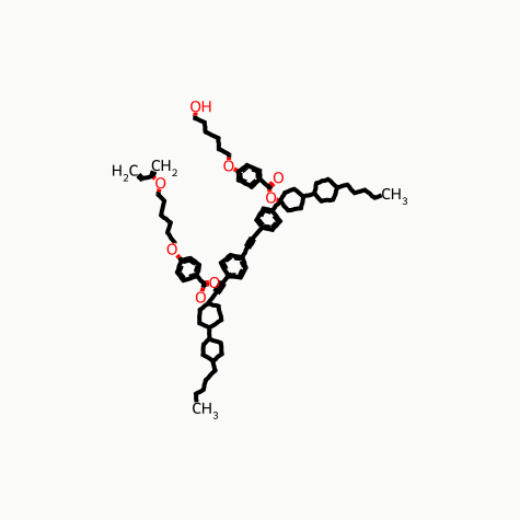 C=CC(=C)OCCCCCCOc1ccc(C(=O)OC2(C#Cc3ccc(C#Cc4ccc(C5(OC(=O)c6ccc(OCCCCCCO)cc6)CCC(C6CCC(CCCCC)CC6)CC5)cc4)cc3)CCC(C3CCC(CCCCC)CC3)CC2)cc1